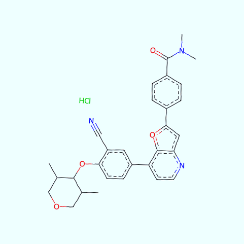 CC1COCC(C)C1Oc1ccc(-c2ccnc3cc(-c4ccc(C(=O)N(C)C)cc4)oc23)cc1C#N.Cl